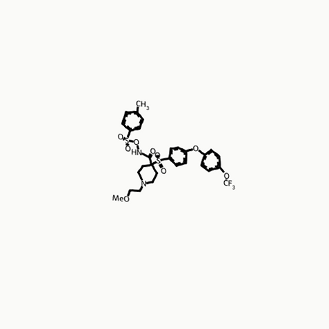 COCCN1CCC(C(=O)NOS(=O)(=O)c2ccc(C)cc2)(S(=O)(=O)c2ccc(Oc3ccc(OC(F)(F)F)cc3)cc2)CC1